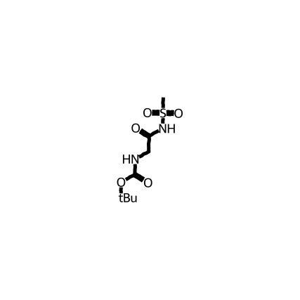 CC(C)(C)OC(=O)NCC(=O)NS(C)(=O)=O